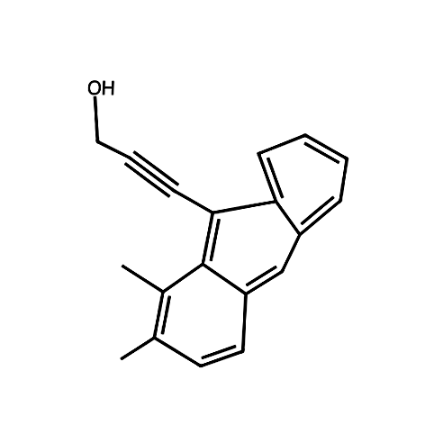 Cc1ccc2cc3ccccc3c(C#CCO)c2c1C